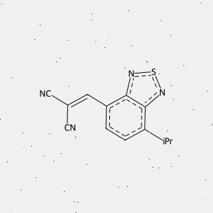 CC(C)c1ccc(C=C(C#N)C#N)c2nsnc12